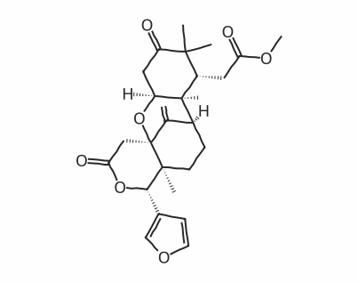 C=C1[C@@H]2CC[C@@]3(C)[C@H](c4ccoc4)OC(=O)C[C@]13O[C@H]1CC(=O)C(C)(C)[C@H](CC(=O)OC)[C@]12C